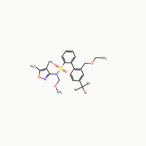 [2H]C([2H])(Br)c1ccc(-c2ccccc2S(=O)(=O)N(COC)c2noc(C)c2C)c(COCC)c1